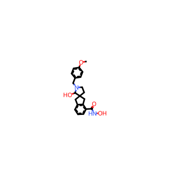 COc1ccc(CN2CCC3(Cc4cccc(C(=O)NO)c4C3)C2O)cc1